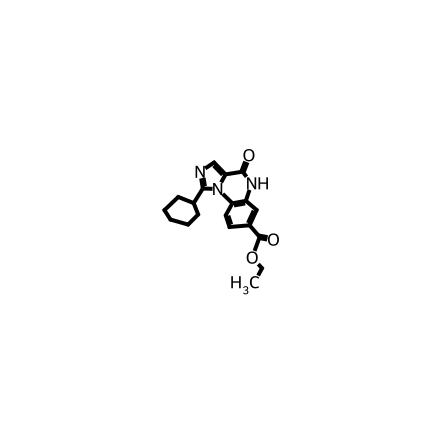 CCOC(=O)c1ccc2c(c1)[nH]c(=O)c1cnc(C3CCCCC3)n12